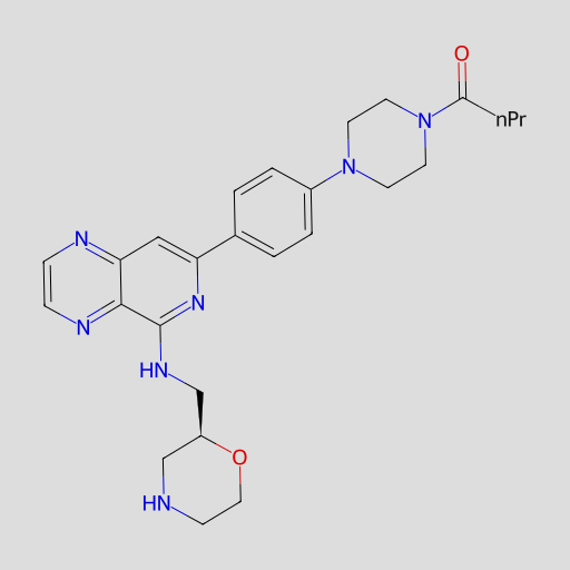 CCCC(=O)N1CCN(c2ccc(-c3cc4nccnc4c(NC[C@@H]4CNCCO4)n3)cc2)CC1